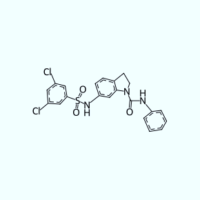 O=C(Nc1ccccc1)N1CCc2ccc(NS(=O)(=O)c3cc(Cl)cc(Cl)c3)cc21